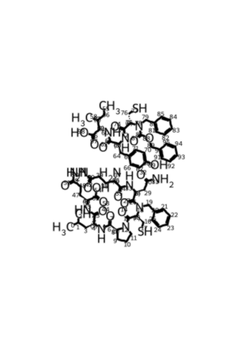 CC(C)C[C@H](NC(=O)[C@@H]1CCCN1C(=O)[C@H](CS)N(Cc1ccccc1)C(=O)[C@H](CC(N)=O)NC(=O)[C@@H](N)CCC(N)=O)C(=O)N[C@@H](CCC(N)=O)C(=O)O.CC[C@H](C)[C@H](NC(=O)[C@H](Cc1ccc(O)cc1)NC(=O)[C@H](CS)N(Cc1ccccc1)C(=O)OCc1ccccc1)C(=O)O